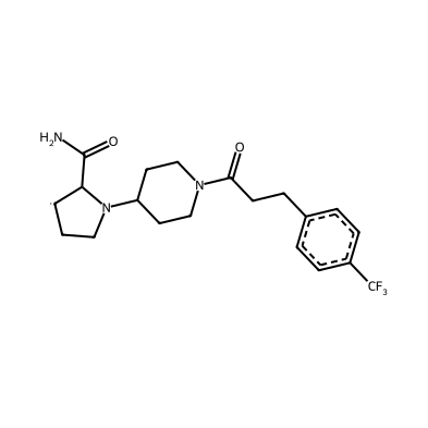 NC(=O)C1[CH]CCN1C1CCN(C(=O)CCc2ccc(C(F)(F)F)cc2)CC1